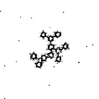 c1ccc(-c2cc(-c3ccccc3)cc(-c3ccc(-c4cccc5c4oc4cc6c(cc45)c4ccccc4n6-c4ccccc4)c(-c4nc(-c5ccccc5)nc(-c5ccccc5)n4)c3)c2)cc1